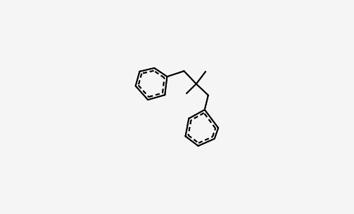 CC(C)(Cc1ccccc1)Cc1ccccc1